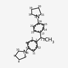 CC(c1ccc(N2CCCC2)cc1)c1ccc(N2CCCC2)cc1